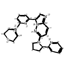 c1ccc(C2CCCN2c2ccc3ncc(-c4cccc(N5CCOCC5)n4)n3n2)nc1